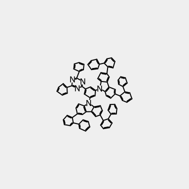 c1ccc(-c2nc(-c3ccccc3)nc(-c3cc(-n4c5ccc(-c6ccccc6-c6ccccc6)cc5c5cc(-c6ccccc6-c6ccccc6)ccc54)cc(-n4c5ccc(-c6ccccc6-c6ccccc6)cc5c5cc(-c6ccccc6-c6ccccc6)ccc54)c3)n2)cc1